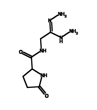 N/N=C(/CNC(=O)C1CCC(=O)N1)NN